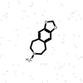 CN1CCc2cc3c(cc2CC1)OCO3